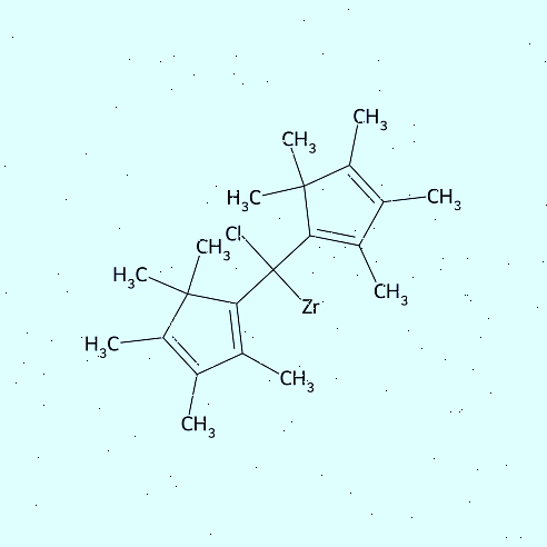 CC1=C(C)C(C)(C)C([C](Cl)([Zr])C2=C(C)C(C)=C(C)C2(C)C)=C1C